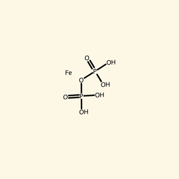 O=P(O)(O)OP(=O)(O)O.[Fe]